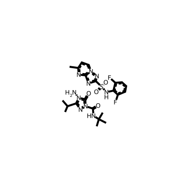 CC(C)c1nn(C(=O)NC(C)(C)C)c(=O)n1N.Cc1ccn2nc(S(=O)(=O)Nc3c(F)cccc3F)nc2n1